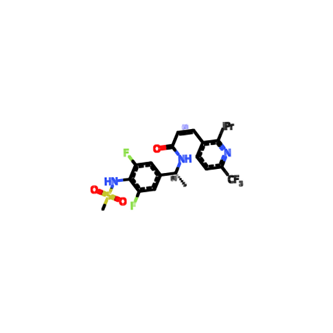 CC(C)c1nc(C(F)(F)F)ccc1/C=C\C(=O)N[C@H](C)c1cc(F)c(NS(C)(=O)=O)c(F)c1